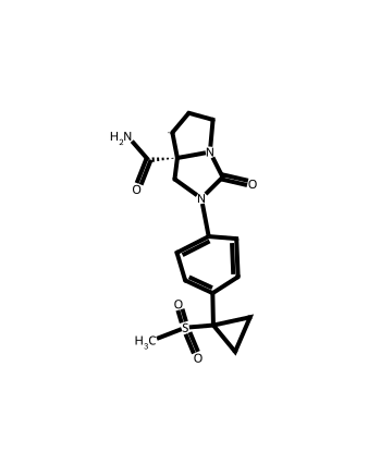 CS(=O)(=O)C1(c2ccc(N3C[C@@]4(C(N)=O)[CH]CCN4C3=O)cc2)CC1